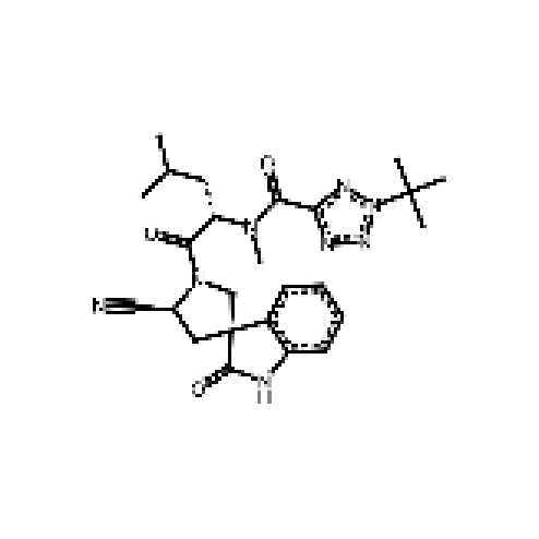 CC(C)C[C@@H](C(=O)N1C[C@]2(C[C@H]1C#N)C(=O)Nc1ccccc12)N(C)C(=O)c1nnn(C(C)(C)C)n1